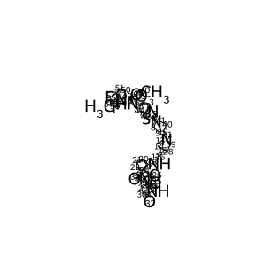 COc1cc2nc(N3CCC(CN4CCC(CCNc5cccc6c5C(=O)N(C5CCC(=O)NC5=O)C6=O)CC4)CC3)sc2cc1NC(=O)c1cccc(C(C)(F)F)n1